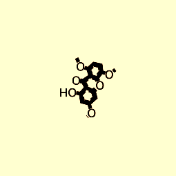 COc1cc(O)c2c(=O)c3c(OC)ccc(OC)c3oc2c1